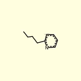 CCCCc1[c]cccn1